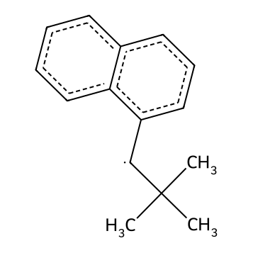 CC(C)(C)[CH]c1cccc2ccccc12